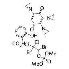 COP(=O)(OC)OC(Br)C(Cl)(Cl)Br.O=C(O)c1ccccc1O.O=C1C=C(N2CC2)C(=O)C(N2CC2)=C1N1CC1